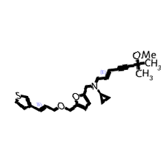 COC(C)(C)C#C/C=C/CN(Cc1ccc(COC/C=C/c2ccsc2)o1)C1CC1